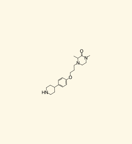 CC1C(=O)N(C)CCN1CCCOc1ccc(C2CCNCC2)cc1